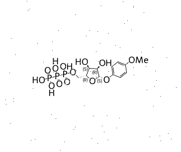 COc1ccc(O[C@@H]2O[C@H](COP(=O)(O)P(=O)(O)P(=O)(O)O)[C@@H](O)[C@H]2O)cc1